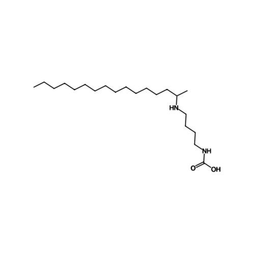 CCCCCCCCCCCCCCC(C)NCCCCNC(=O)O